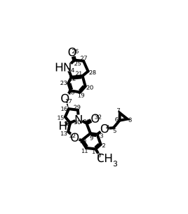 Cc1cc(OCC2CC2)c2c(c1)OC[C@H]1C[C@H](Oc3ccc4c(c3)NC(=O)CC4)CN1C2=O